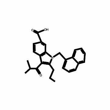 CCCc1c(C(=O)C(C)C)c2ccc(C(=O)O)cc2n1Cc1cccc2ccccc12